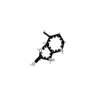 Cc1ccnc2[nH]c(=O)oc12